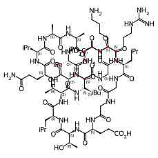 CC[C@H](C)[C@H](NC(=O)[C@@H](NC(=O)[C@H](CC(C)C)NC(=O)[C@@H](NC(=O)[C@H](CCC(=O)O)NC(=O)CNC(=O)CNC(=O)[C@H](CC(C)C)NC(=O)[C@H](CCCCN)NC(=O)[C@@H](N)C(C)C)[C@@H](C)O)[C@@H](C)O)C(=O)N[C@@H](C)C(=O)N[C@@H](CCC(N)=O)C(=O)N[C@H](C(=O)N[C@@H](C)C(=O)N[C@@H](C)C(=O)N[C@H](C(=O)N[C@@H](C)C(=O)N[C@@H](C)C(=O)N[C@@H](CCCNC(=N)N)C(=O)NCC(=O)O)C(C)C)C(C)C